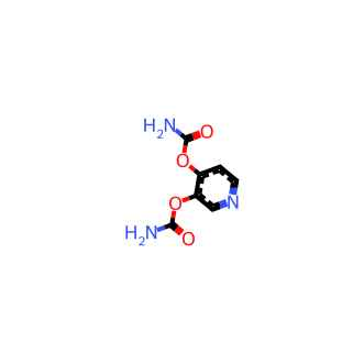 NC(=O)Oc1ccncc1OC(N)=O